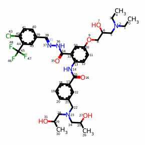 CCN(CC)CC(O)COc1ccc(NC(=O)c2cccc(CN(CC(C)O)CC(C)O)c2)c(C(=O)N/N=C/c2ccc(Cl)c(C(F)(F)F)c2)c1